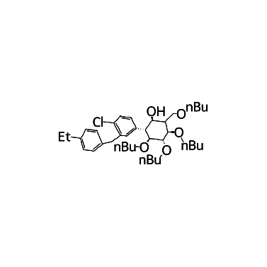 CCCCOCC1[C@@H](OCCCC)[C@H](OCCCC)[C@@H](OCCCC)[C@H](c2ccc(Cl)c(Cc3ccc(CC)cc3)c2)[C@H]1O